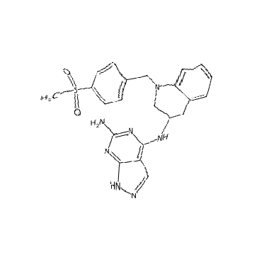 CS(=O)(=O)c1ccc(CN2CC(Nc3nc(N)nc4[nH]ncc34)Cc3ccccc32)cc1